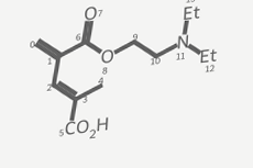 C=C(C=C(C)C(=O)O)C(=O)OCCN(CC)CC